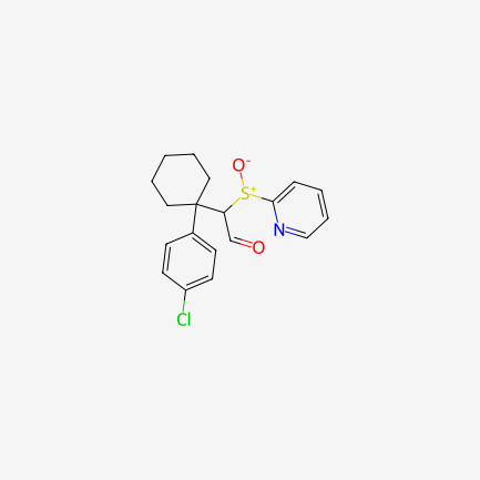 O=CC([S+]([O-])c1ccccn1)C1(c2ccc(Cl)cc2)CCCCC1